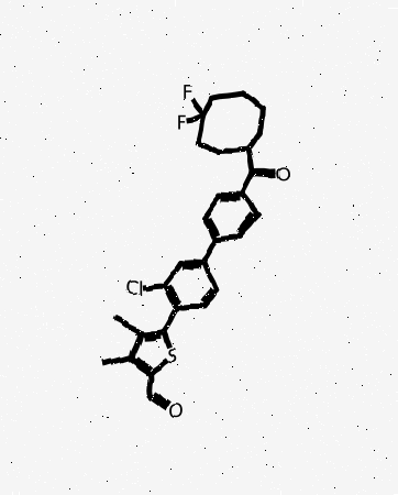 Cc1c(C=O)sc(-c2ccc(-c3ccc(C(=O)C4CCCCC(F)(F)CC4)cc3)cc2Cl)c1C